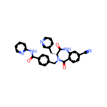 N#Cc1ccc2c(c1)NC(=O)[C@@H](Cc1cccnc1)N(Cc1ccc(C(=O)Nc3ccccn3)cc1)C2=O